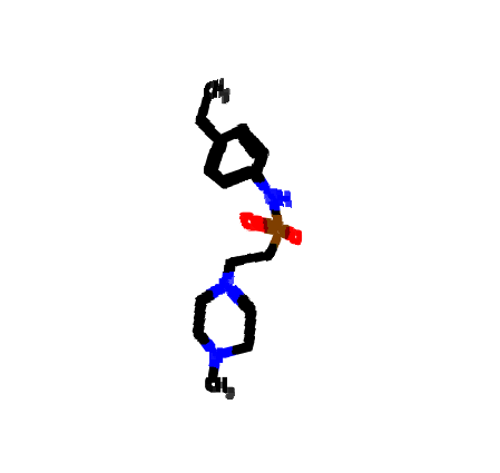 CCc1ccc(NS(=O)(=O)CCN2CCN(C)CC2)cc1